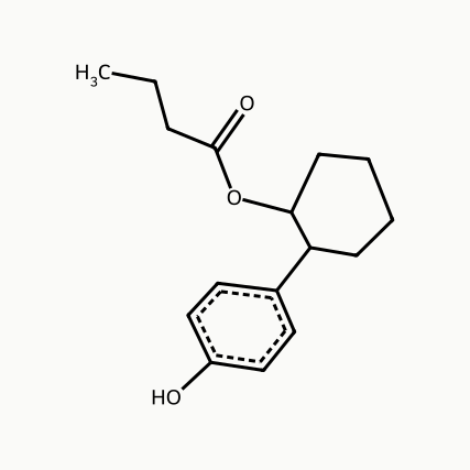 CCCC(=O)OC1CCCCC1c1ccc(O)cc1